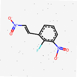 O=[N+]([O-])C=Cc1cccc([N+](=O)[O-])c1F